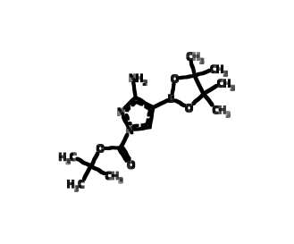 CC(C)(C)OC(=O)n1cc(B2OC(C)(C)C(C)(C)O2)c(N)n1